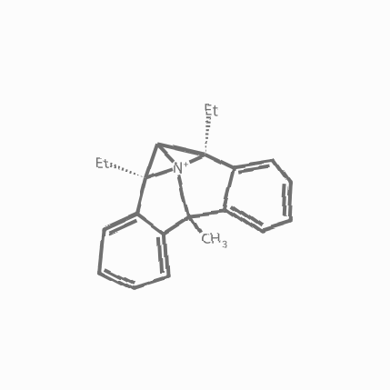 CC[C@]12c3ccccc3C3(C)c4ccccc4[C@]4(CC)C1[N+]324